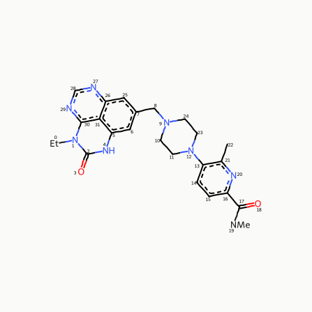 CCN1C(=O)Nc2cc(CN3CCN(c4ccc(C(=O)NC)nc4C)CC3)cc3ncnc1c23